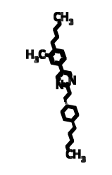 CCCCCc1ccc(-c2cnc(CC[C@H]3CC[C@H](CCCCC)CC3)nc2)cc1C